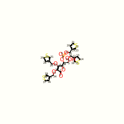 O=C1O[C@H]([C@H](CO)OP(=O)(OCc2ccsc2)OCc2ccsc2)C(OCc2ccsc2)=C1OCc1ccsc1